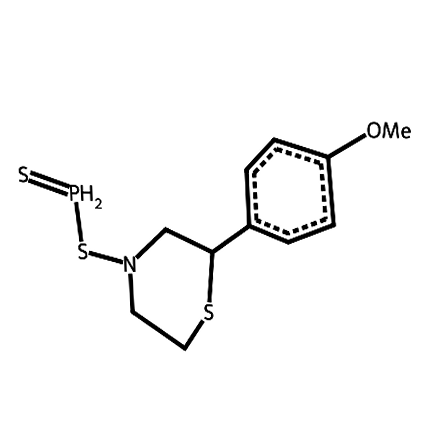 COc1ccc(C2CN(S[PH2]=S)CCS2)cc1